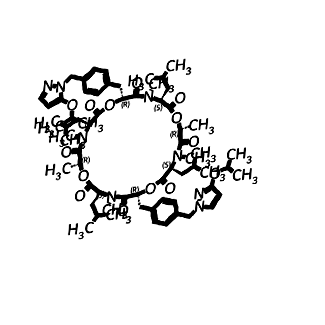 CC(C)C[C@H]1C(=O)O[C@H](Cc2ccc(Cn3nccc3OC(C)C)cc2)C(=O)N(C)[C@@H](CC(C)C)C(=O)O[C@H](C)C(=O)N(C)[C@@H](CC(C)C)C(=O)O[C@H](Cc2ccc(Cn3ccc(OC(C)C)n3)cc2)C(=O)N(C)[C@@H](CC(C)C)C(=O)O[C@H](C)C(=O)N1C